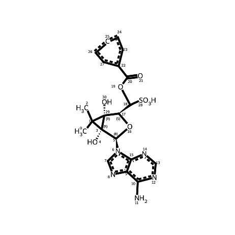 CC1(C)[C@]2(O)[C@H](n3cnc4c(N)ncnc43)O[C@H](C(OC(=O)c3ccccc3)S(=O)(=O)O)[C@]12O